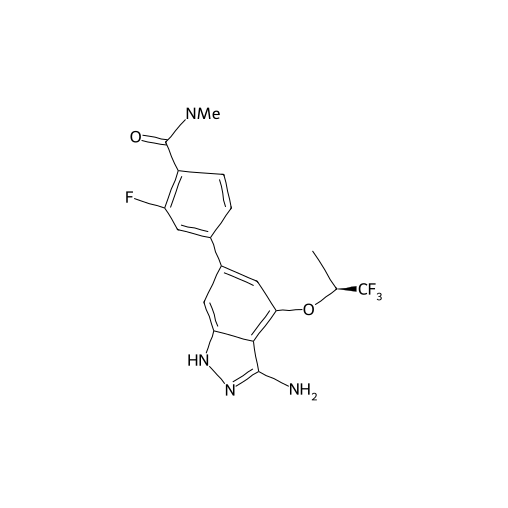 CNC(=O)c1ccc(-c2cc(O[C@@H](C)C(F)(F)F)c3c(N)n[nH]c3c2)cc1F